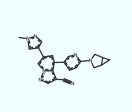 Cn1cc(-c2cc(-c3ccc(N4CC5CC5C4)nc3)c3c(C#N)cnn3c2)cn1